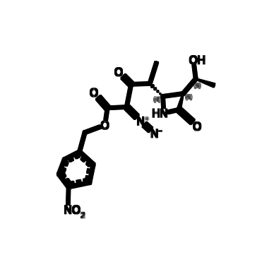 CC(C(=O)C(=[N+]=[N-])C(=O)OCc1ccc([N+](=O)[O-])cc1)[C@H]1NC(=O)[C@@H]1[C@H](C)O